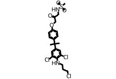 CC(C)(c1ccc(OCC(=O)CNS(C)(=O)=O)cc1)c1cc(Cl)c(NCCCCl)c(Cl)c1